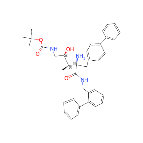 C[C@@H]([C@H](O)CNC(=O)OC(C)(C)C)[C@](N)(Cc1ccc(-c2ccccc2)cc1)C(=O)NCc1ccccc1-c1ccccc1